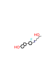 CC(O)CCC/C=C/c1ccc(-c2ccc3cc(O)ccc3c2)cc1F